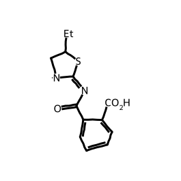 CCC1C[N]C(=NC(=O)c2ccccc2C(=O)O)S1